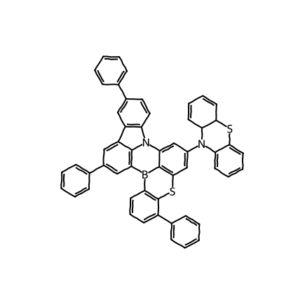 C1=CC2Sc3ccccc3N(c3cc4c5c(c3)-n3c6ccc(-c7ccccc7)cc6c6cc(-c7ccccc7)cc(c63)B5c3cccc(-c5ccccc5)c3S4)C2C=C1